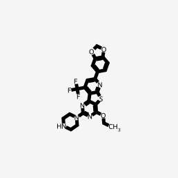 CCOc1nc(N2CCNCC2)nc2c1sc1nc(-c3ccc4c(c3)OCO4)cc(C(F)(F)F)c12